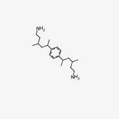 CC(CCN)CC(C)c1ccc(C(C)CC(C)CCN)cc1